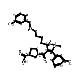 Cn1nc(CCCCOCc2cccc(Cl)c2)c(C(=O)N2CC[C@H](C(=O)O)C2)c1-c1cccc(Cl)c1